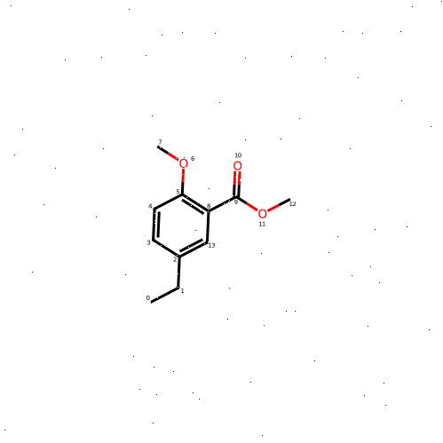 CCc1ccc(OC)c(C(=O)OC)c1